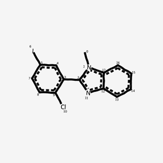 Cn1c(-c2cc(I)ccc2Cl)nc2ccccc21